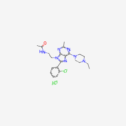 CCN1CCN(c2nc(C)nc3c2nc(-c2ccccc2Cl)n3CCNC(C)=O)CC1.Cl